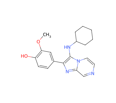 COc1cc(-c2nc3cnccn3c2NC2CCCCC2)ccc1O